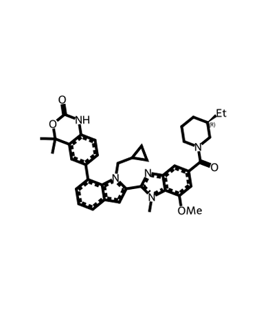 CC[C@@H]1CCCN(C(=O)c2cc(OC)c3c(c2)nc(-c2cc4cccc(-c5ccc6c(c5)C(C)(C)OC(=O)N6)c4n2CC2CC2)n3C)C1